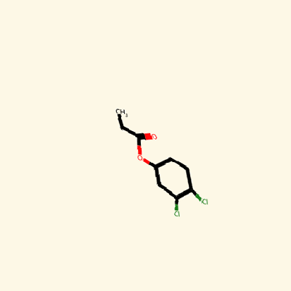 C[CH]C(=O)OC1CCC(Cl)C(Cl)C1